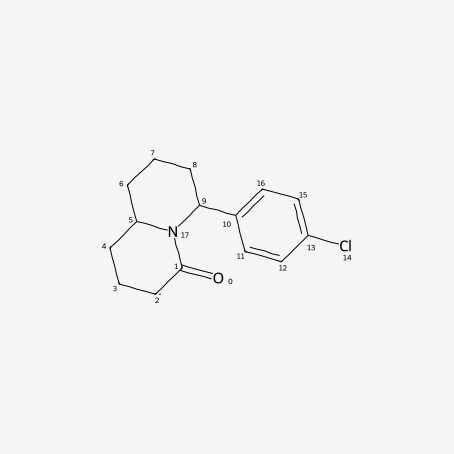 O=C1[CH]CCC2CCCC(c3ccc(Cl)cc3)N12